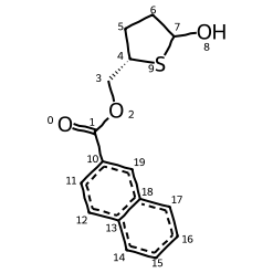 O=C(OC[C@@H]1CCC(O)S1)c1ccc2ccccc2c1